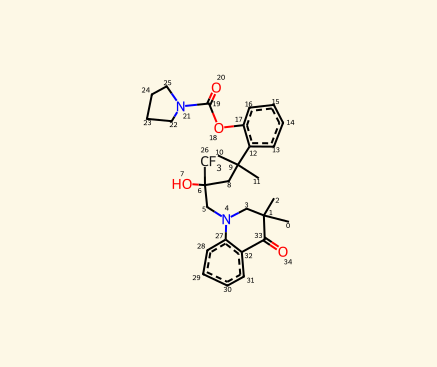 CC1(C)CN(CC(O)(CC(C)(C)c2ccccc2OC(=O)N2CCCC2)C(F)(F)F)c2ccccc2C1=O